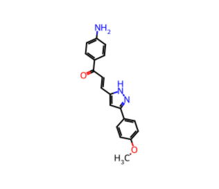 COc1ccc(-c2cc(/C=C/C(=O)c3ccc(N)cc3)[nH]n2)cc1